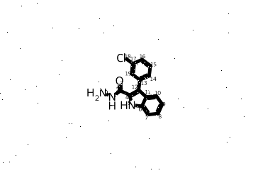 NNC(=O)c1[nH]c2ccccc2c1-c1cccc(Cl)c1